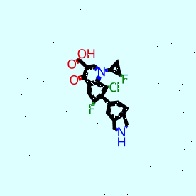 O=C(O)c1cn(C2CC2F)c2c(Cl)c(-c3ccc4c(c3)CNC4)c(F)cc2c1=O